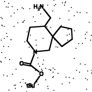 CC(C)(C)OC(=O)N1CCC(CN)C2(CCCC2)C1